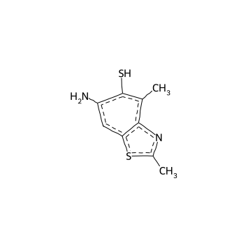 Cc1nc2c(C)c(S)c(N)cc2s1